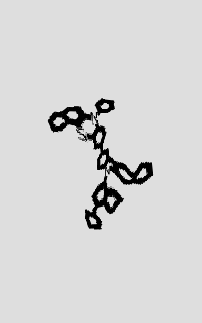 c1ccc(-c2ccc(-n3c4ccc(-c5ccc6c(c5)Sc5c(ccc7ccccc57)N6c5ccccc5)cc4c4cc5ccccc5cc43)c3ccccc23)cc1